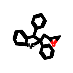 CC(CC1CO1)(c1ccccc1)C(c1ccccc1)c1ccccc1